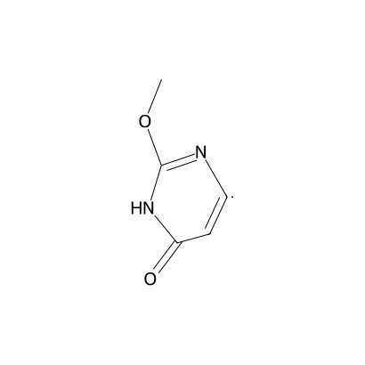 COc1n[c]cc(=O)[nH]1